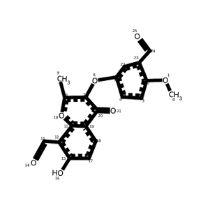 COc1ccc(Oc2c(C)oc3c(C=O)c(O)ccc3c2=O)cc1C=O